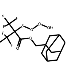 O=C(OCC12CC3CC(CC(C3)C1)C2)C(SOOO)(C(F)(F)F)C(F)(F)F